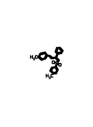 Cc1ccc(C=C/C(=C\S(=O)(=O)c2ccc(C)cc2)c2ccccc2)cc1